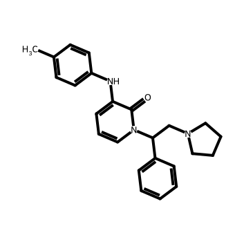 Cc1ccc(Nc2cccn(C(CN3CCCC3)c3ccccc3)c2=O)cc1